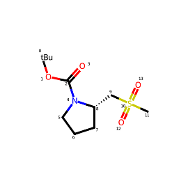 CC(C)(C)OC(=O)N1CCC[C@H]1CS(C)(=O)=O